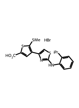 Br.CSc1sc(C(=O)O)cc1-c1csc(Nc2ccccc2C(C)C)n1